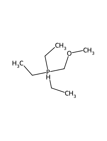 CC[PH](CC)(CC)COC